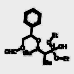 CCO[PH](O)(OCC)C(N(OC(COC=O)c1ccccc1)C(C)(C)C)C(C)(C)C